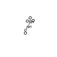 c1ccc(OCCNCCCNC(c2ccccc2)(c2ccccc2)c2ccccc2)cc1